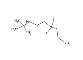 CCCC(F)(F)CCNC(C)(C)C